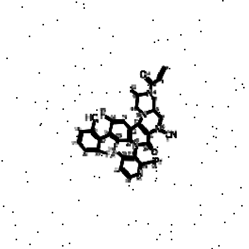 C=CC(=O)N1CC2CN(C#N)c3c(c4cc(F)c(-c5c(O)cccc5F)c(F)c4n(-c4c(C)ccnc4C(C)C)c3=O)N2CC1C